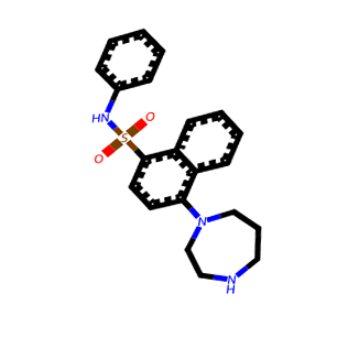 O=S(=O)(Nc1ccccc1)c1ccc(N2CCCNCC2)c2ccccc12